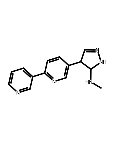 CNC1NN=CC1c1ccc(-c2cccnc2)nc1